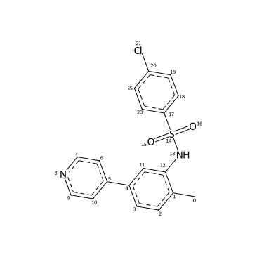 Cc1ccc(-c2ccncc2)cc1NS(=O)(=O)c1ccc(Cl)cc1